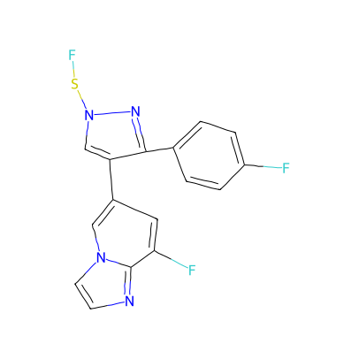 FSn1cc(-c2cc(F)c3nccn3c2)c(-c2ccc(F)cc2)n1